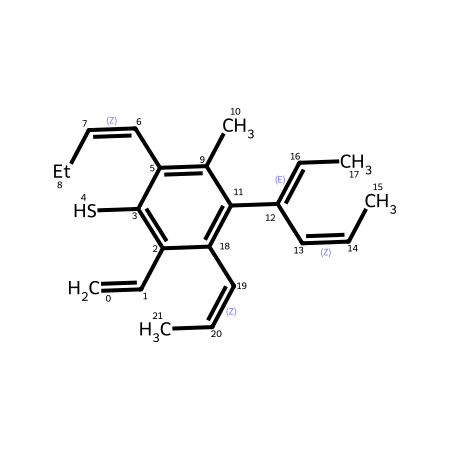 C=Cc1c(S)c(/C=C\CC)c(C)c(C(/C=C\C)=C/C)c1/C=C\C